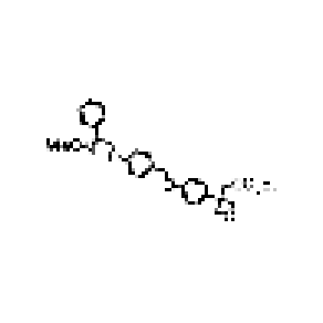 CCOC(=O)CC1(c2ccc(OCc3ccc(OCC(=NOC)c4ccccc4)cc3)cc2)COC1